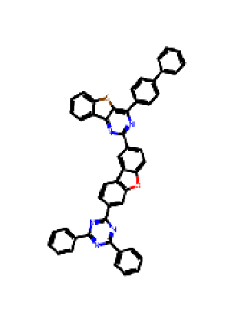 c1ccc(-c2ccc(-c3nc(-c4ccc5oc6cc(-c7nc(-c8ccccc8)nc(-c8ccccc8)n7)ccc6c5c4)nc4c3sc3ccccc34)cc2)cc1